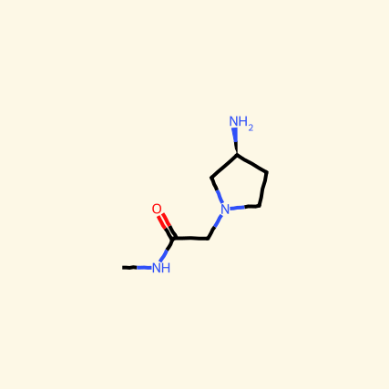 CNC(=O)CN1CC[C@H](N)C1